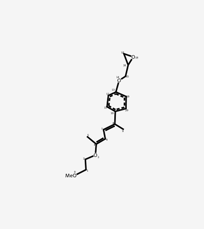 COCCO/C(C)=C/C=C(\C)c1ccc(OCC2CO2)cc1